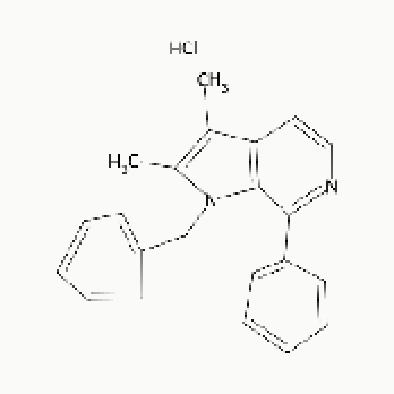 Cc1c(C)n(Cc2ccccc2)c2c(-c3ccccc3)nccc12.Cl